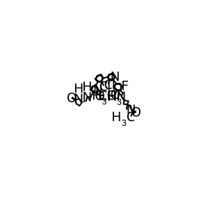 COc1cc(-c2nccc(-c3cccc(-c4ccc(CNC[C@H]5CCC(=O)N5)c(OC)n4)c3Cl)c2Cl)cc(F)c1CNC1CC2(C1)CN(C(C)=O)C2